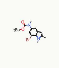 Cc1cc2cc(N(C)C(=O)OC(C)(C)C)cc(Br)c2n1C